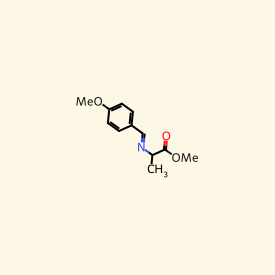 COC(=O)C(C)N=Cc1ccc(OC)cc1